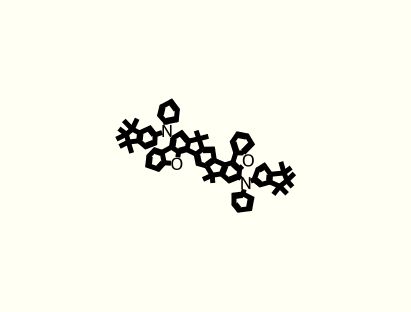 CC1(C)c2cc3c(cc2-c2c1cc(N(c1ccccc1)c1ccc4c(c1)C(C)(C)C(C)(C)C4(C)C)c1c2oc2ccccc21)C(C)(C)c1cc(N(c2ccccc2)c2ccc4c(c2)C(C)(C)C(C)(C)C4(C)C)c2oc4ccccc4c2c1-3